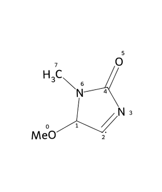 COC1[C]=NC(=O)N1C